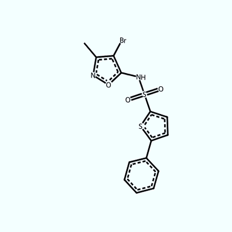 Cc1noc(NS(=O)(=O)c2ccc(-c3ccccc3)s2)c1Br